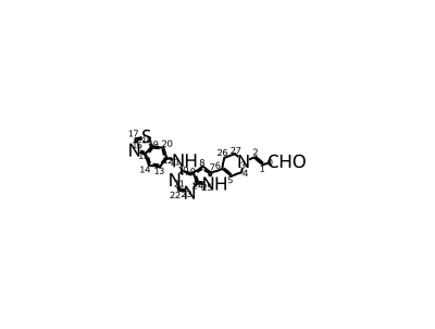 O=CC=CN1CC=C(c2cc3c(Nc4ccc5ncsc5c4)ncnc3[nH]2)CC1